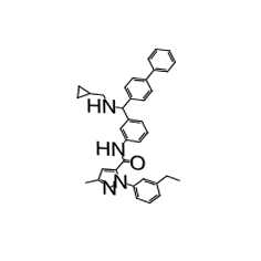 CCc1cccc(-n2nc(C)cc2C(=O)Nc2cccc(C(NCC3CC3)c3ccc(-c4ccccc4)cc3)c2)c1